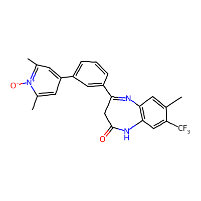 Cc1cc2c(cc1C(F)(F)F)NC(=O)CC(c1cccc(-c3cc(C)[n+]([O-])c(C)c3)c1)=N2